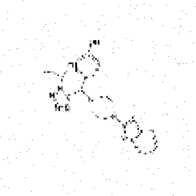 CC(C)n1nnnc1C(c1ccc(O)cc1)N1CCN(c2nc3ccccc3s2)CC1